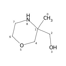 CC1(CO)COCCN1